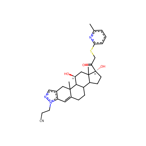 Cc1cccc(SCC(=O)[C@@]2(O)CCC3C4CCC5=Cc6c(cnn6CCC#N)CC5(C)C4[C@@H](O)CC32C)n1